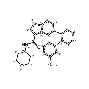 Cc1cccc(-c2ccccc2-c2ccc3ncc(C(=O)NC4CCOCC4)n3c2)n1